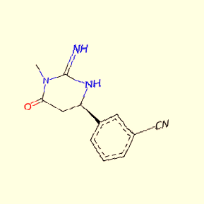 CN1C(=N)N[C@@H](c2cccc(C#N)c2)CC1=O